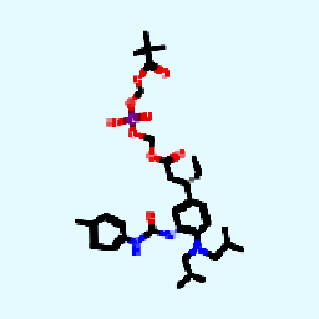 CC[C@@H](CC(=O)OCOP(=O)(O)OCOC(=O)C(C)(C)C)c1ccc(N(CC(C)C)CC(C)C)c(NC(=O)Nc2ccc(C)cc2)c1